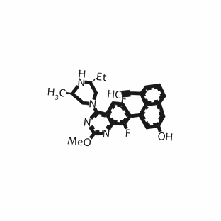 C#Cc1cccc2cc(O)cc(-c3c(F)cc4c(N5C[C@@H](CC)N[C@H](C)C5)nc(OC)nc4c3F)c12